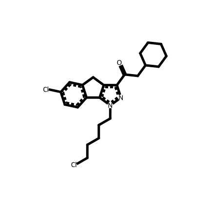 O=C(CC1CCCCC1)c1nn(CCCCCCl)c2c1Cc1cc(Cl)ccc1-2